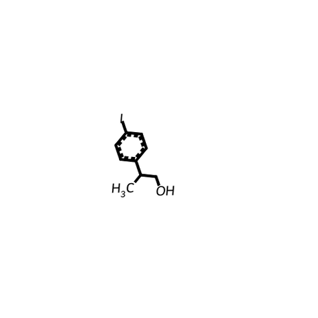 CC(CO)c1ccc(I)cc1